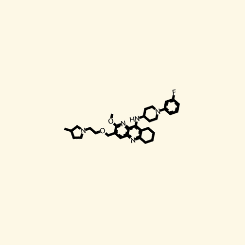 COc1nc2c(NC3CCN(c4cccc(F)c4)CC3)c3c(nc2cc1COCCN1CCC(C)C1)CCCC3